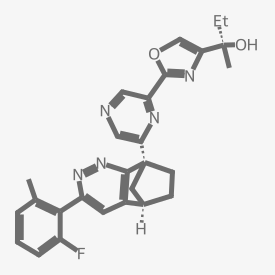 CC[C@@](C)(O)c1coc(-c2cncc([C@]34CC[C@H](C3)c3cc(-c5c(C)cccc5F)nnc34)n2)n1